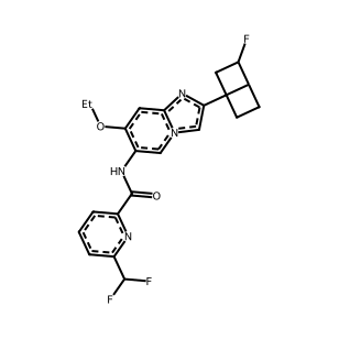 CCOc1cc2nc(C34CCC3C(F)C4)cn2cc1NC(=O)c1cccc(C(F)F)n1